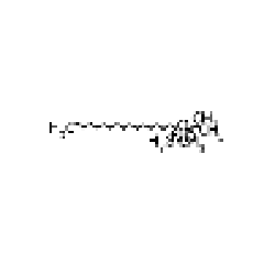 C=C(C)C(=O)OC(CCCCCCCCCCCCCCCC)N(C)C